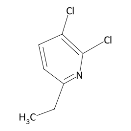 CCc1ccc(Cl)c(Cl)n1